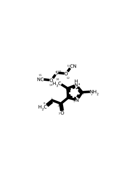 C=CC(=O)c1nc(N)[nH]c1C.N#COSOC#N